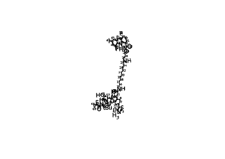 Cc1ncsc1-c1ccc([C@H](CC(=O)NCCCCCCCCCCCNCCCONC(=O)c2ccc(F)c(F)c2Nc2ccc(I)cc2F)NC(=O)[C@@H]2C[C@@H](O)CN2C(=O)C(NC(=O)C2(F)CC2)C(C)(C)C)cc1